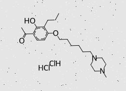 CCCc1c(OCCCCCCN2CCN(C)CC2)ccc(C(C)=O)c1O.Cl.Cl